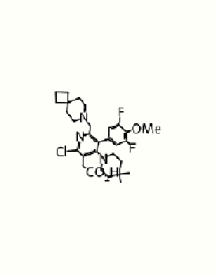 COc1c(F)cc(-c2c(CN3CCC4(CCC4)CC3)nc(Cl)c(CC(=O)O)c2N2CCC(C)(C)CC2)cc1F